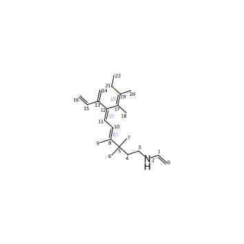 C=CNCCC(C)(C)/C(C)=C/C=C(C(=C)C=C)\C(C)=C(\C)CC